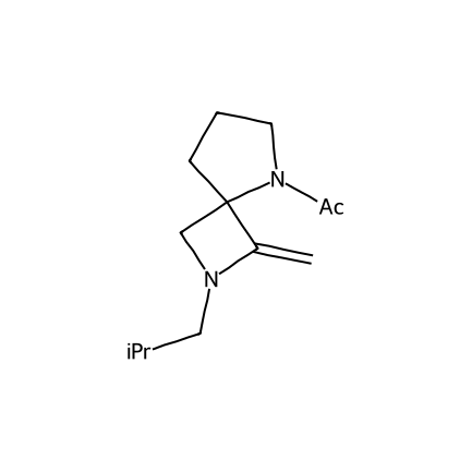 C=C1N(CC(C)C)CC12CCCN2C(C)=O